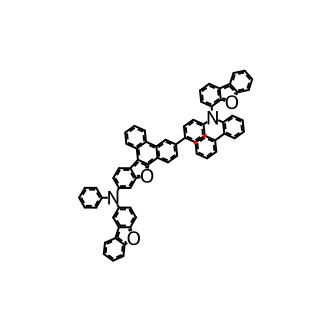 c1ccc(-c2ccccc2N(c2ccc(-c3ccc4c(c3)c3ccccc3c3c5ccc(N(c6ccccc6)c6ccc7oc8ccccc8c7c6)cc5oc43)cc2)c2cccc3c2oc2ccccc23)cc1